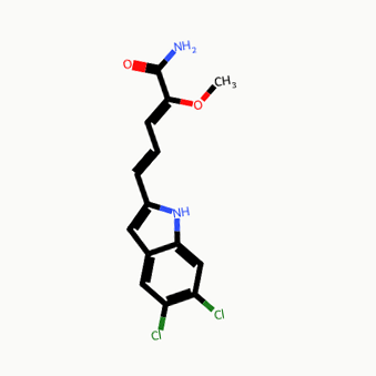 COC(=CC=Cc1cc2cc(Cl)c(Cl)cc2[nH]1)C(N)=O